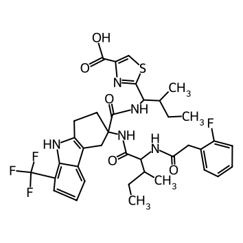 CCC(C)C(NC(=O)Cc1ccccc1F)C(=O)NC1(C(=O)NC(c2nc(C(=O)O)cs2)C(C)CC)CCc2[nH]c3c(C(F)(F)F)cccc3c2C1